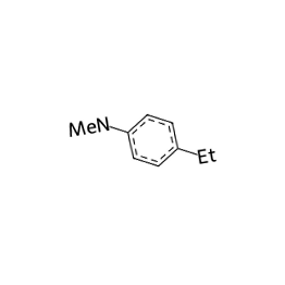 [CH2]Cc1ccc(NC)cc1